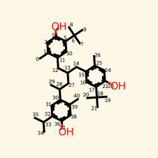 Cc1cc(O)c(C(C)(C)C)cc1CC(Cc1cc(C(C)(C)C)c(O)cc1C)CC(C)c1cc(C(C)C)c(O)cc1C